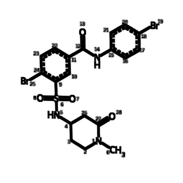 CN1CCC(NS(=O)(=O)c2cc(C(=O)Nc3ccc(Br)cc3)ccc2Br)CC1=O